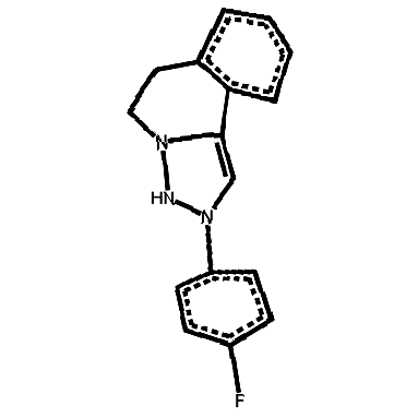 Fc1ccc(N2C=C3c4ccccc4CCN3N2)cc1